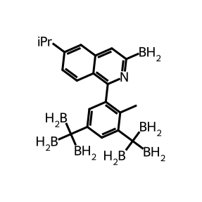 Bc1cc2cc(C(C)C)ccc2c(-c2cc(C(B)(B)B)cc(C(B)(B)B)c2C)n1